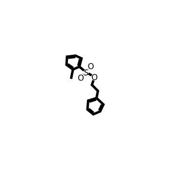 Cc1ccccc1S(=O)(=O)OCCc1ccccc1